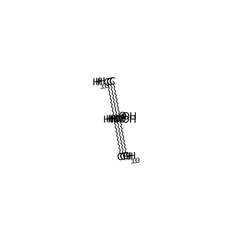 CCCCCCCCCCCCCCCCCCNCCCCCCCCCCCCCCCCCC.CCCCCCCCCCCCCCCCCCNCCCCCCCCCCCCCCCCCC.CCCCCCCCCCCCCCCCCCNCCCCCCCCCCCCCCCCCC.O=P(O)(O)O